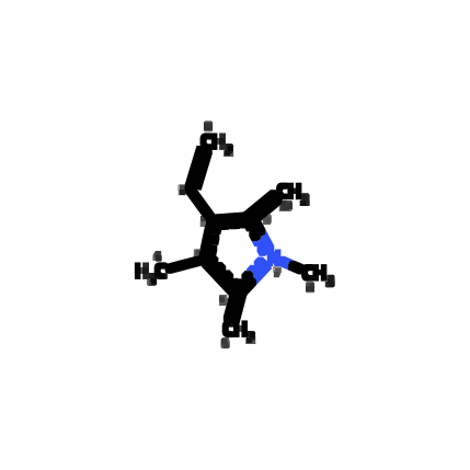 C=Cc1c(C)c(=C)n(C)c1=C